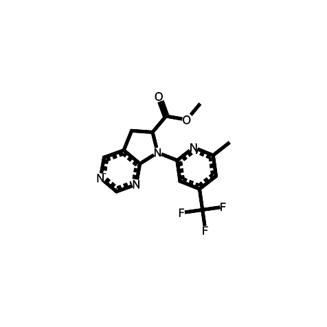 COC(=O)C1Cc2cncnc2N1c1cc(C(F)(F)F)cc(C)n1